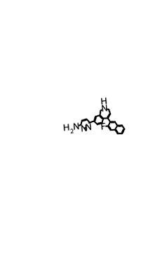 Nc1ccc(-c2ccc3c(c2)CNCC=C3c2cc3ccccc3cc2F)nn1